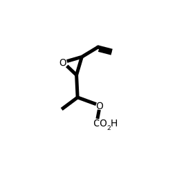 C=CC1OC1C(C)OC(=O)O